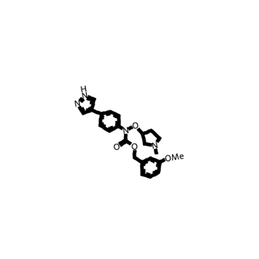 COc1cccc(COC(=O)N(OC2CCN(C)C2)c2ccc(-c3cn[nH]c3)cc2)c1